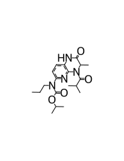 CCCN(C(=O)OC(C)C)c1ccc2c(n1)N(C(=O)C(C)C)C(C)C(=O)N2